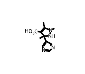 CC1=C(C(=O)O)C(C)(c2cncnc2)NN1C